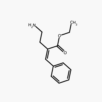 CCOC(=O)C(=Cc1ccccc1)CCN